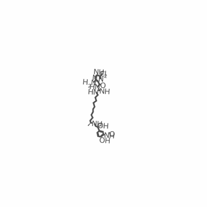 C[C@@H](CCCCCCCCCCNC(=N)NC(=O)c1nc(Cl)c(N)nc1N)NC[C@@H](O)c1ccc(O)c(NC=O)c1